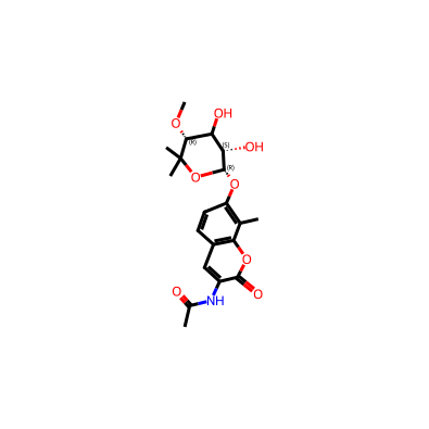 CO[C@@H]1C(O)[C@H](O)[C@H](Oc2ccc3cc(NC(C)=O)c(=O)oc3c2C)OC1(C)C